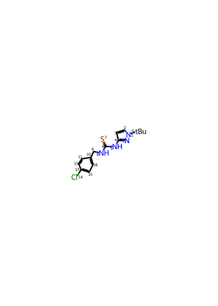 CC(C)(C)n1ccc(NC(=S)NCc2ccc(Cl)cc2)n1